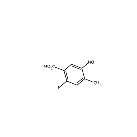 Cc1cc(F)c(C(=O)O)cc1N=O